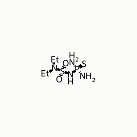 CCN(CC)S(=O)(=O)NP(N)(N)=S